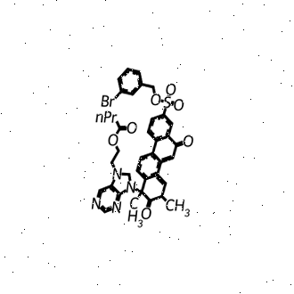 CCCC(=O)OCCN1CN(C2(C)C(=O)C(C)C=c3c2ccc2c3=CC(=O)c3cc(S(=O)(=O)OCc4cccc(Br)c4)ccc3-2)c2ncncc21